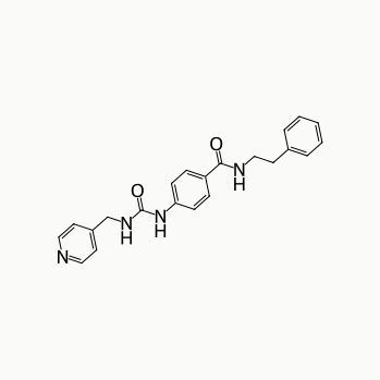 O=C(NCc1ccncc1)Nc1ccc(C(=O)NCCc2ccccc2)cc1